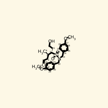 C=CC[C@@H](C)[C@H](CCO)S(=O)(=O)N(Cc1ccc(OC)cc1)Cc1ccc(OC)cc1